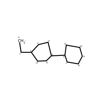 [CH2]CC1CCC(C2CCCCC2)CC1